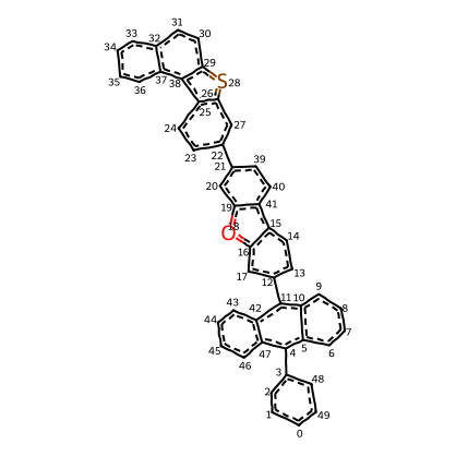 c1ccc(-c2c3ccccc3c(-c3ccc4c(c3)oc3cc(-c5ccc6c(c5)sc5ccc7ccccc7c56)ccc34)c3ccccc23)cc1